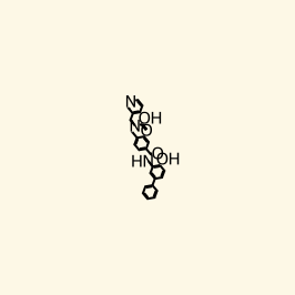 O=C(Nc1cc(-c2ccccc2)ccc1O)c1ccc(CN(Cc2cccnc2)C(=O)O)cc1